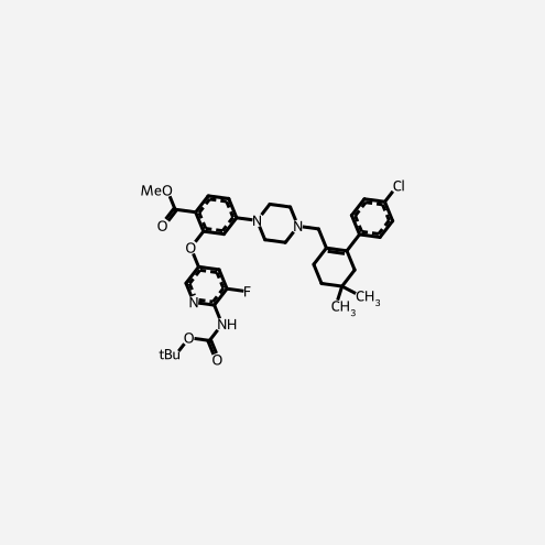 COC(=O)c1ccc(N2CCN(CC3=C(c4ccc(Cl)cc4)CC(C)(C)CC3)CC2)cc1Oc1cnc(NC(=O)OC(C)(C)C)c(F)c1